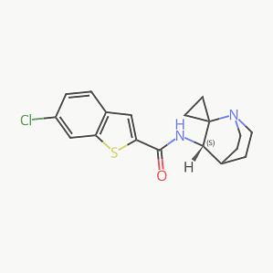 O=C(N[C@H]1C2CCN(CC2)C12CC2)c1cc2ccc(Cl)cc2s1